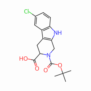 CC(C)(C)OC(=O)N1Cc2[nH]c3ccc(Cl)cc3c2CC1C(=O)O